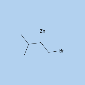 CC(C)CCBr.[Zn]